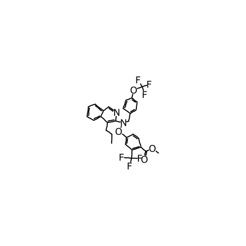 CCCc1c(N(Cc2ccc(OC(F)(F)F)cc2)Oc2ccc(C(=O)OC)c(C(F)(F)F)c2)ncc2ccccc12